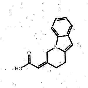 O=C(O)/C=C1/CCc2cc3ccccc3n2C1